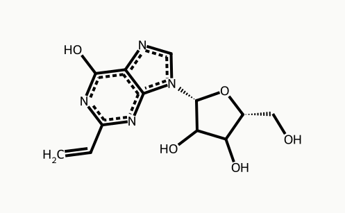 C=Cc1nc(O)c2ncn([C@@H]3O[C@H](CO)C(O)C3O)c2n1